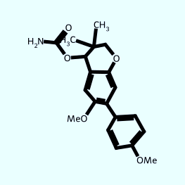 COc1ccc(-c2cc3c(cc2OC)C(OC(N)=O)C(C)(C)CO3)cc1